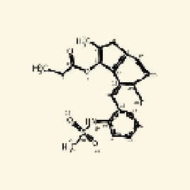 CCC(=O)OC1=C(C)CC2=C1C(=Cc1ccccc1NS(C)(=O)=O)C(F)C=C2